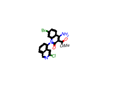 COC(=O)c1c(N)c2ccc(Br)cc2n(-c2cccc3cnc(Cl)cc23)c1=O